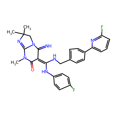 Cn1c(=O)/c(=C(/NCc2ccc(-c3cccc(F)n3)cc2)Nc2ccc(F)cc2)c(=N)n2c1=NC(C)(C)C2